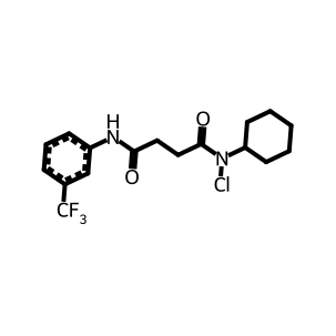 O=C(CCC(=O)N(Cl)C1CCCCC1)Nc1cccc(C(F)(F)F)c1